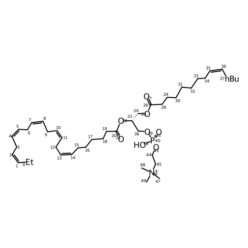 CC/C=C\C/C=C\C/C=C\C/C=C\C/C=C\CCCCCC(=O)O[C@H](COC(=O)CCCCCCC/C=C\CCCC)COP(=O)(O)OCC[N+](C)(C)C